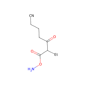 CCC(C(=O)CCCC#N)C(=O)ON